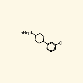 CCCCCCCC1CCC(c2cccc(Cl)c2)CC1